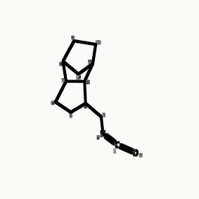 O=C=NCC1CCC2C3CCC(C3)C12